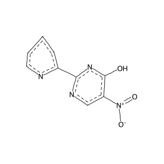 O=[N+]([O-])c1cnc(-c2ccccn2)nc1O